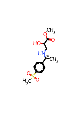 COC(=O)C(O)CN[C@@H](C)c1ccc(S(C)(=O)=O)cc1